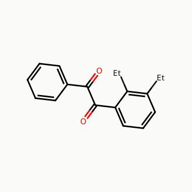 CCc1cccc(C(=O)C(=O)c2ccccc2)c1CC